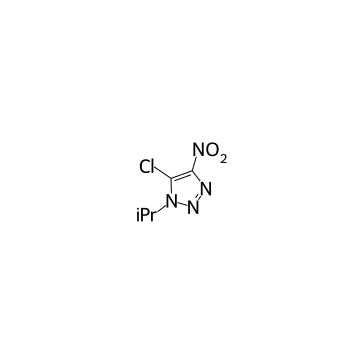 CC(C)n1nnc([N+](=O)[O-])c1Cl